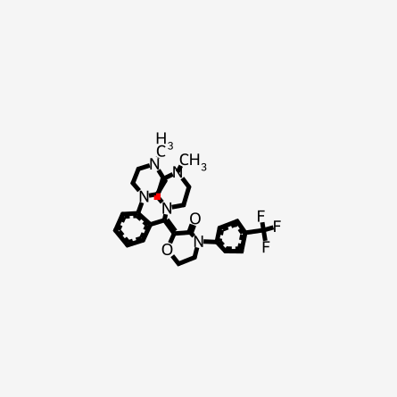 CN1CCN(C(=C2OCCN(c3ccc(C(F)(F)F)cc3)C2=O)c2ccccc2N2CCN(C)CC2)CC1